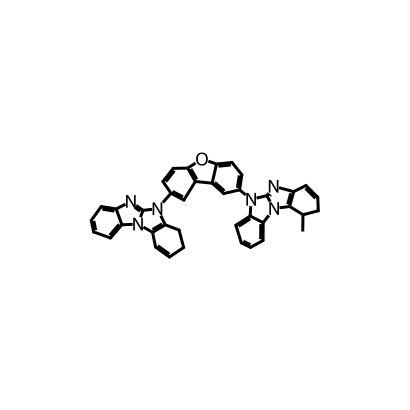 CC1CC=Cc2nc3n(-c4ccc5oc6ccc(-n7c8c(n9c%10ccccc%10nc79)C=CCC8)cc6c5c4)c4ccccc4n3c21